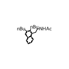 CCCCc1cc2ccccc2c(CCNC(C)=O)c1CCCC